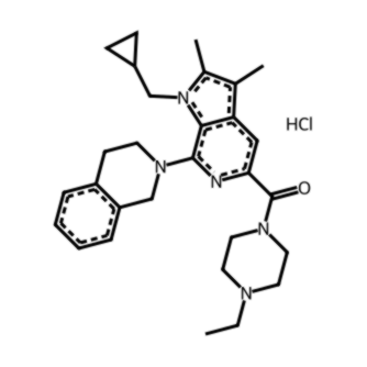 CCN1CCN(C(=O)c2cc3c(C)c(C)n(CC4CC4)c3c(N3CCc4ccccc4C3)n2)CC1.Cl